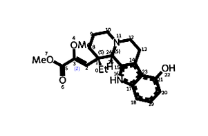 CC[C@@]1(/C=C(\OC)C(=O)OC)CCCN2CCc3c([nH]c4cccc(O)c34)[C@@H]21